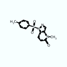 Cc1ccc(S(=O)(=O)n2ncc3c2ccc(=O)n3C)cc1